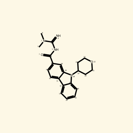 CN(C)C(=N)NC(=O)c1ccc2c3ccccc3n(C3CCOCC3)c2c1